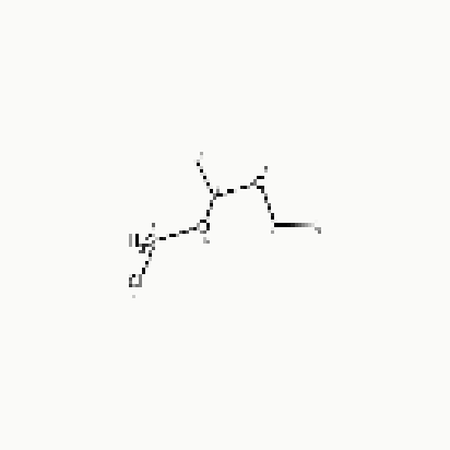 CCOC(C)O[SiH2]Cl